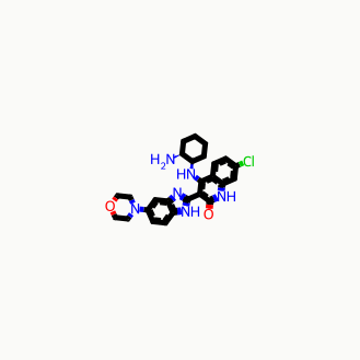 N[C@@H]1CCCC[C@H]1Nc1c(-c2nc3cc(N4CCOCC4)ccc3[nH]2)c(=O)[nH]c2cc(Cl)ccc12